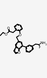 CCOC(=O)Cc1ccccc1OCc1cc(-c2cccc(C[C@@H](N)F)c2)c2occc2c1